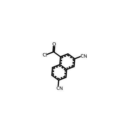 N#Cc1ccc2c(C(=O)Cl)cc(C#N)cc2c1